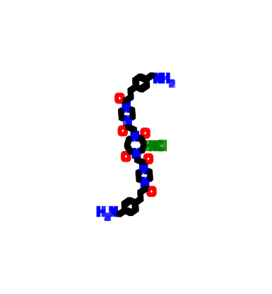 Cl.Cl.NCc1ccc(CCC(=O)N2CCN(C(=O)CN3CCC(=O)N(CC(=O)N4CCN(C(=O)CCc5ccc(CN)cc5)CC4)CCC3=O)CC2)cc1